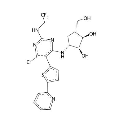 OC[C@H]1C[C@@H](Nc2nc(NCC(F)(F)F)nc(Cl)c2-c2ccc(-c3ccccn3)s2)[C@H](O)[C@@H]1O